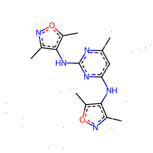 Cc1cc(Nc2c(C)noc2C)nc(Nc2c(C)noc2C)n1